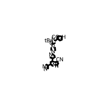 Cn1cc(-c2cc(-c3ccc(N4CCN(C(=O)C[C@@H](c5ccccc5)N(C(=O)O)C(C)(C)C)CC4)nc3)c3c(C#N)cnn3c2)cn1